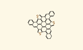 C1=Cc2c(cc3c4csc5c6c7ccccc7cc7c8csc9c%10c%11ccccc%11cc%11c%12csc%13c2c3c2c(c%12%13)c(c%11%10)c(c89)c(c76)c2c45)CC1